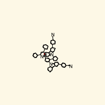 N#Cc1ccc(-c2ccc3c(c2)c2ccccc2n3-c2ccccc2-c2cc(-c3nc(-c4ccccc4)cc(-c4ccccc4)n3)ccc2-n2c3ccccc3c3cc(-c4ccc(C#N)cc4)ccc32)cc1